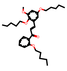 CCCCCOc1cc(C=CC(=O)c2ccccc2OCCCCC)c(OCCCCC)c(OC)c1